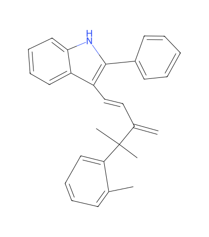 C=C(/C=C/c1c(-c2ccccc2)[nH]c2ccccc12)C(C)(C)c1ccccc1C